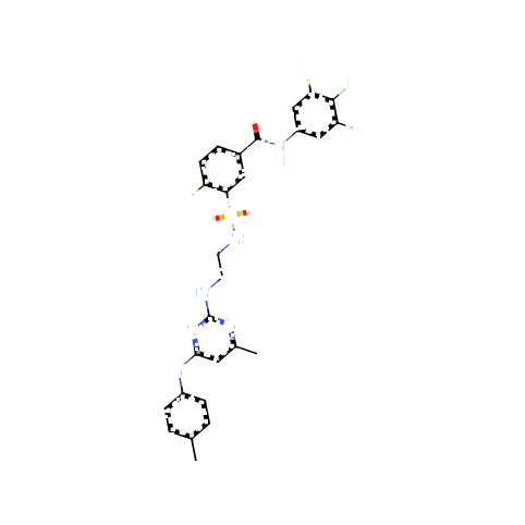 Cc1ccc(Nc2cc(C)nc(NCCNS(=O)(=O)c3cc(C(=O)Nc4cc(F)c(F)c(F)c4)ccc3F)n2)cc1